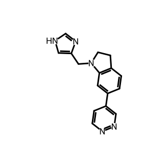 c1cc(-c2ccc3c(c2)N(Cc2c[nH]cn2)CC3)cnn1